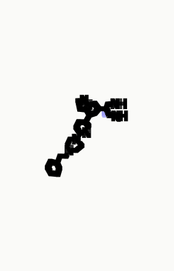 CN/C=C(\C=N)c1cc(-c2ccc(N3CCN(CCc4ccccc4)CC3)nc2)c2ccnn2c1